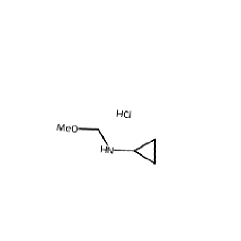 COCNC1CC1.Cl